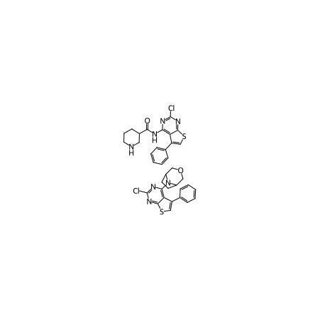 Clc1nc(N2C3CCC2COC3)c2c(-c3ccccc3)csc2n1.O=C(Nc1nc(Cl)nc2scc(-c3ccccc3)c12)C1CCCNC1